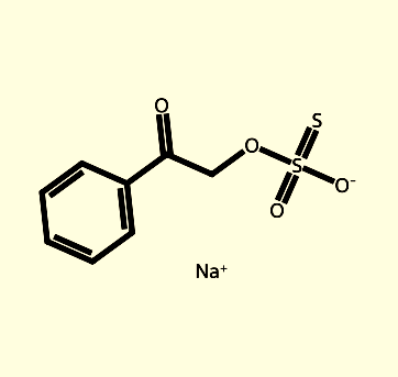 O=C(COS(=O)([O-])=S)c1ccccc1.[Na+]